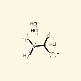 CC(C(=O)O)N(C)C.Cl.Cl.Cl